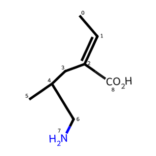 C/C=C(\CC(C)CN)C(=O)O